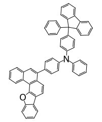 c1ccc(N(c2ccc(-c3cc4ccccc4c4c3ccc3c5ccccc5oc34)cc2)c2ccc(C3(c4ccccc4)c4ccccc4-c4ccccc43)cc2)cc1